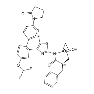 O=C(O)C[C@@H](Cc1ccccc1)C(=O)N(c1nc(-c2cc(OC(F)F)ccc2-c2ccc(N3CCCC3=O)nc2)c(F)s1)C1CC1